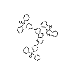 O=P(c1ccccc1)(c1ccccc1)c1ccc(-c2ccc3c(c2)c2cc(-c4ccc(P(=O)(c5ccccc5)c5ccccc5)cc4)ccc2n3-c2nc3ccccc3c3nc4ccccc4n23)cc1